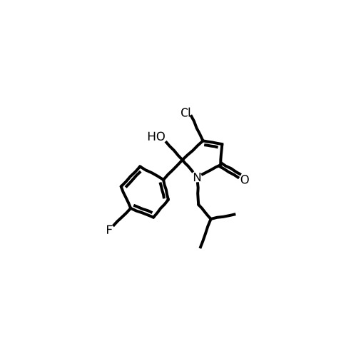 CC(C)CN1C(=O)C=C(Cl)C1(O)c1ccc(F)cc1